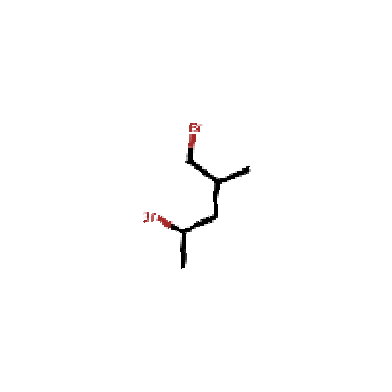 CC(Br)CC(C)CBr